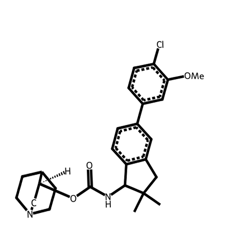 COc1cc(-c2ccc3c(c2)CC(C)(C)C3NC(=O)O[C@H]2CN3CCC2CC3)ccc1Cl